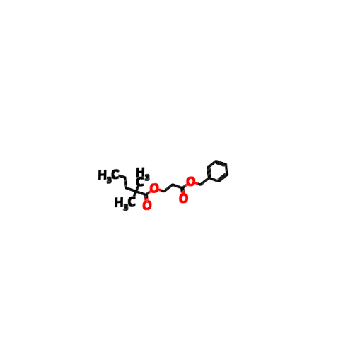 CCCC(C)(C)C(=O)OCCC(=O)OCc1ccccc1